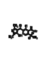 CCCNc1c(S(C)(=O)=O)ccc(C(=O)c2c(C)nn(C)c2O)c1Cl